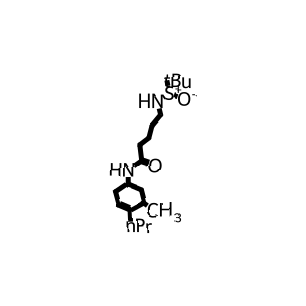 CCCC1=CCC(NC(=O)CCCCN[S+]([O-])C(C)(C)C)CC1C